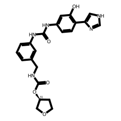 O=C(Nc1cccc(CNC(=O)O[C@H]2CCOC2)c1)Nc1ccc(-c2c[nH]cn2)c(O)c1